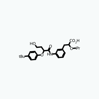 CC(C)OC(Cc1cccc(NC(=O)C(CCO)Oc2ccc(C(C)(C)C)cc2)c1)C(=O)O